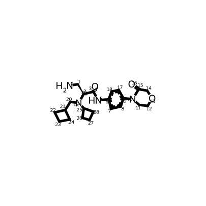 NC[C@@H](C(=O)Nc1ccc(N2CCOCC2=O)cc1)N(CC1CCC1)C1CCC1